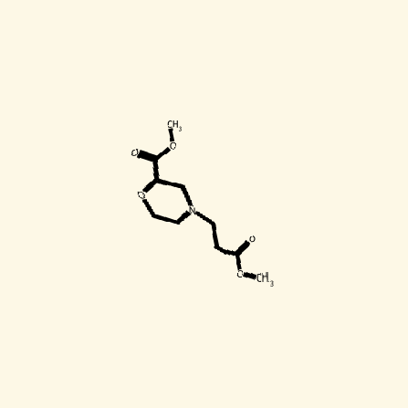 COC(=O)CCN1CCOC(C(=O)OC)C1